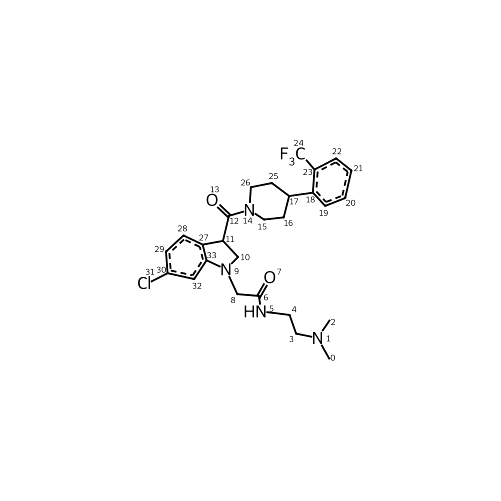 CN(C)CCNC(=O)CN1CC(C(=O)N2CCC(c3ccccc3C(F)(F)F)CC2)c2ccc(Cl)cc21